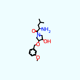 COc1cccc(COC2CN(C(=O)[C@H](N)CC(C)C)CC2O)c1